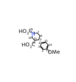 COc1ccc([C@H]2CCN(C(=O)O)C[C@H]2C(=O)O)cc1